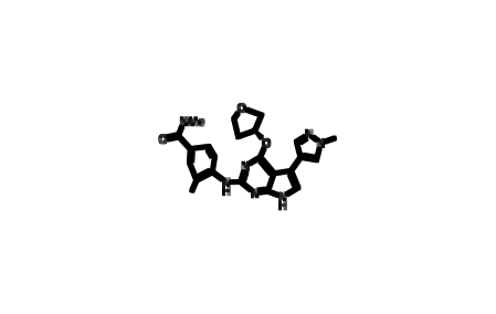 CNC(=O)c1ccc(Nc2nc(O[C@H]3CCOC3)c3c(-c4cnn(C)c4)c[nH]c3n2)c(C)c1